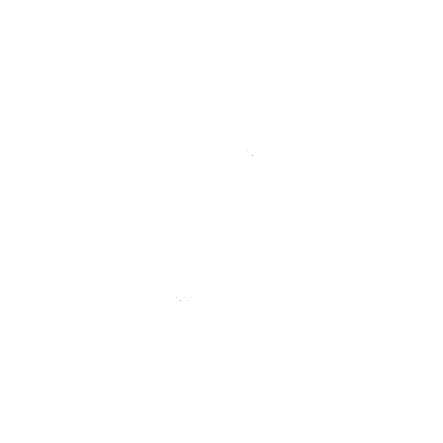 CNc1ccc(C2CCNCC2)c(F)c1